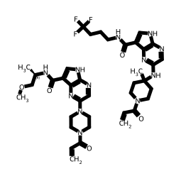 C=CC(=O)N1CCC(C)(Nc2cnc3[nH]cc(C(=O)NCCCC(F)(F)F)c3n2)CC1.C=CC(=O)N1CCN(c2cnc3[nH]cc(C(=O)N[C@H](C)COC)c3n2)CC1